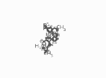 COC(=O)c1cnn(-c2cccc(CN3C[C@@H](C)Cc4cc(C(F)(F)F)ccc4S3(O)O)c2)c1C1CC1c1cc(C)no1